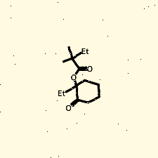 CCC(C)(C)C(=O)OC1(CC)CCCCC1=O